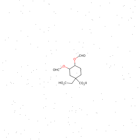 O=COC1CCC(CC(=O)O)(C(=O)O)CC1OC=O